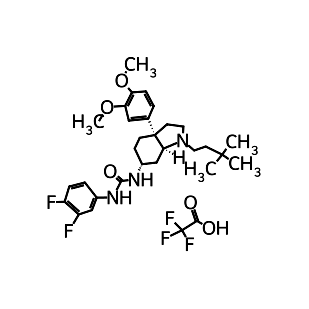 COc1ccc([C@@]23CC[C@@H](NC(=O)Nc4ccc(F)c(F)c4)C[C@@H]2N(CCC(C)(C)C)CC3)cc1OC.O=C(O)C(F)(F)F